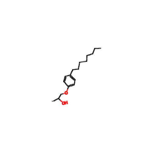 [CH2]C(O)COc1ccc(CCCCCCCC)cc1